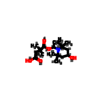 CC(OC(=O)C(C)(C)CC(=O)O)N1C(C)(C)CC(O)CC1(C)C